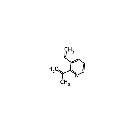 C=Cc1cccnc1C(=C)C